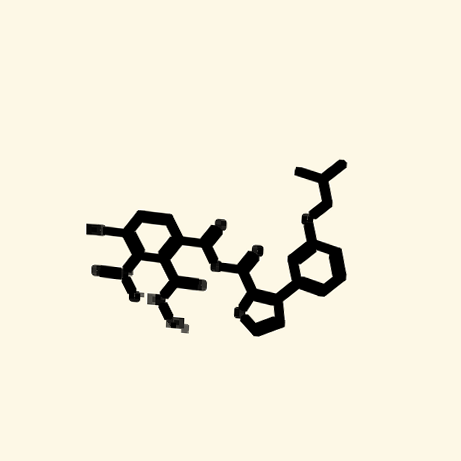 CC(C)COc1cccc(-c2ccoc2C(=O)OC(=O)c2ccc(O)c([N+](=O)[O-])c2C(=O)NN)c1